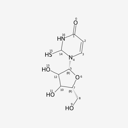 O=C1C=CN([C@@H]2O[C@H](CO)C(O)C2O)C(S)N1